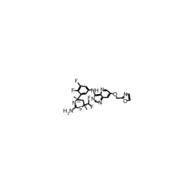 C[C@]1(C(F)F)C[C@@](C)(c2cc(Nc3ncnc4cc(OCc5ncco5)cnc34)cc(F)c2F)N=C(N)S1